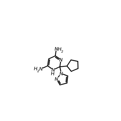 NC1=CC(N)=NC(C2CCCC2)(n2cccn2)N1